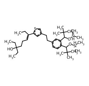 CCC(=CCCC(O)(CC)CC)c1cc(CCc2ccc(C(O[SiH](C)C)C(C)(C)C)c(C(O[SiH](C)C)C(C)(C)C)c2)cs1